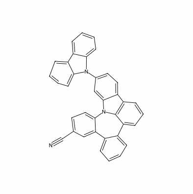 N#Cc1ccc2c(c1)-c1ccccc1-c1cccc3c4ccc(-n5c6ccccc6c6ccccc65)cc4n-2c13